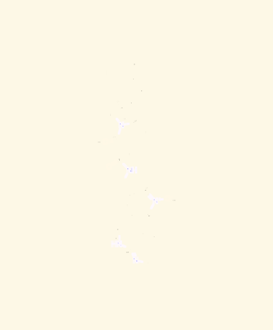 O=C(NCc1cc(-c2c[nH]c3ncccc23)c[n+]([O-])c1)c1cccn(Cc2ccc(F)c(F)c2)c1=O